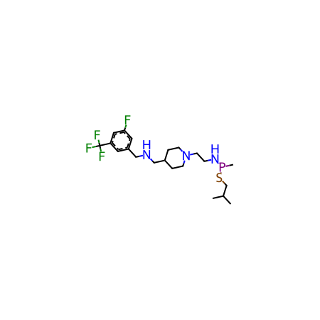 CC(C)CSP(C)NCCN1CCC(CNCc2cc(F)cc(C(F)(F)F)c2)CC1